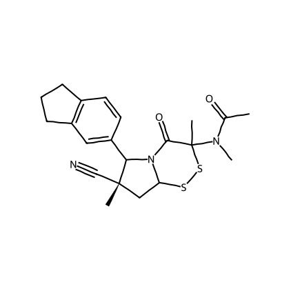 CC(=O)N(C)C1(C)SSC2C[C@](C)(C#N)C(c3ccc4c(c3)CCC4)N2C1=O